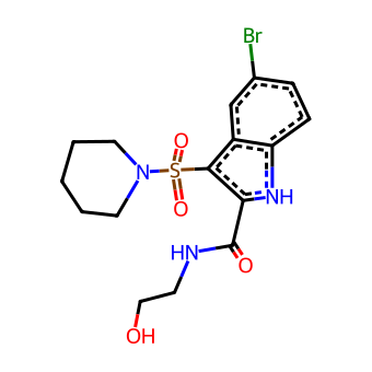 O=C(NCCO)c1[nH]c2ccc(Br)cc2c1S(=O)(=O)N1CCCCC1